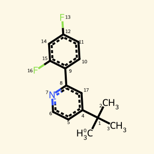 CC(C)(C)c1ccnc(-c2ccc(F)cc2F)c1